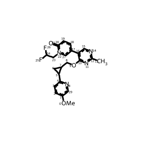 COc1ccc(C2CC2COc2nc(C)ncc2-c2ccc(=O)n(CC(F)F)c2)nc1